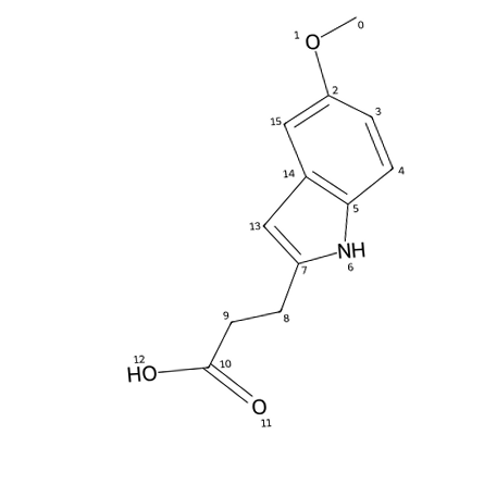 COc1ccc2[nH]c(CCC(=O)O)cc2c1